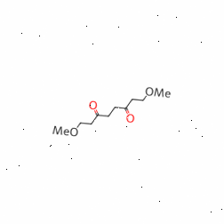 COCCC(=O)CCC(=O)CCOC